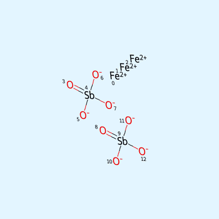 [Fe+2].[Fe+2].[Fe+2].[O]=[Sb]([O-])([O-])[O-].[O]=[Sb]([O-])([O-])[O-]